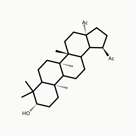 CC(=O)[C@@H]1CC[C@]2(C(C)=O)CC[C@]3(C)C(CCC4[C@@]5(C)CC[C@H](O)C(C)(C)C5CC[C@]43C)C12